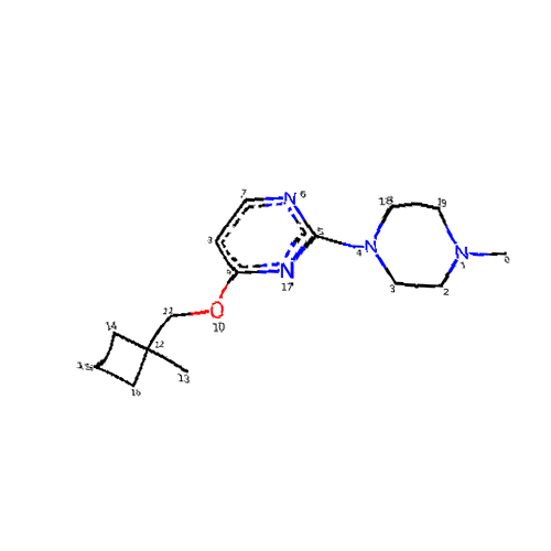 CN1CCN(c2nccc(OCC3(C)CCC3)n2)CC1